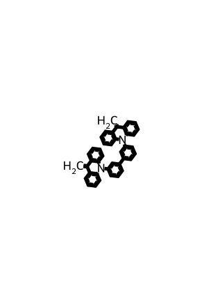 C=C1c2ccccc2N(c2cccc(-c3cccc(N4c5ccccc5C(=C)c5ccccc54)c3)c2)c2ccccc21